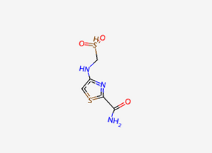 NC(=O)c1nc(NC[SH](=O)=O)cs1